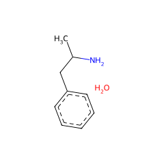 CC(N)Cc1ccccc1.O